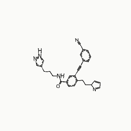 N#Cc1cccc(C#Cc2cc(C(=O)NCCCc3cn[nH]c3)ccc2CCC2C=CC=N2)c1